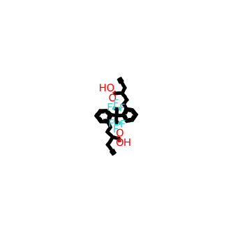 C#CCC(CCc1ccccc1C(c1ccccc1CCC(CC#C)C(=O)O)(C(F)(F)F)C(F)(F)F)C(=O)O